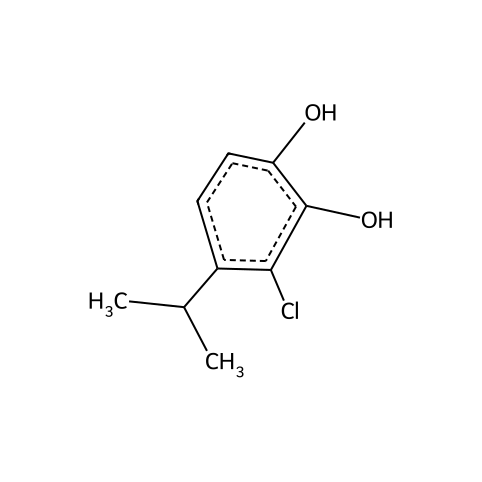 CC(C)c1ccc(O)c(O)c1Cl